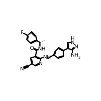 C[C@H](NC(=O)c1cc(C#N)cnc1NCc1ccc(-c2c[nH]nc2N)cc1)c1ccc(F)cc1